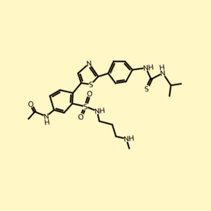 CNCCCNS(=O)(=O)c1cc(NC(C)=O)ccc1-c1cnc(-c2ccc(NC(=S)NC(C)C)cc2)s1